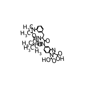 CC(=O)N(C)c1cccc(CC(NC(=O)OC(C)(C)C)C(=O)Nc2ccc3c(c2)nc(C(=O)O)n3C(=O)O)c1